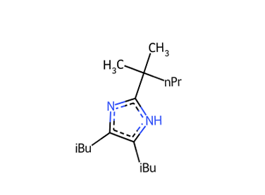 CCCC(C)(C)c1nc(C(C)CC)c(C(C)CC)[nH]1